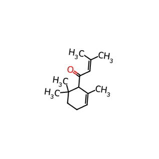 CC(C)=CC(=O)C1C(C)=CCCC1(C)C